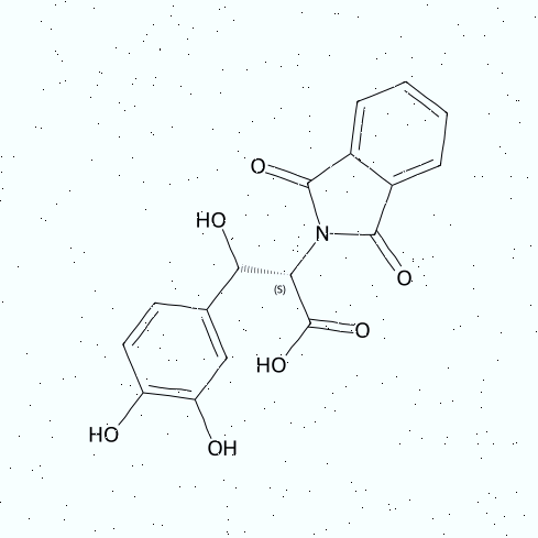 O=C(O)[C@H](C(O)c1ccc(O)c(O)c1)N1C(=O)c2ccccc2C1=O